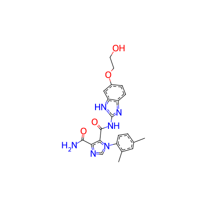 Cc1ccc(-n2cnc(C(N)=O)c2C(=O)Nc2nc3ccc(OCCO)cc3[nH]2)c(C)c1